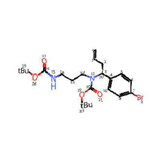 C=CC[C@@H](c1ccc(Br)cc1)N(CCCNC(=O)OC(C)(C)C)C(=O)OC(C)(C)C